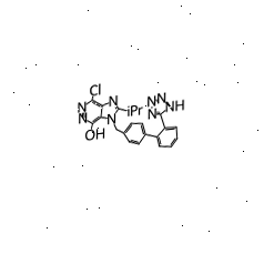 CC(C)c1nc2c(Cl)nnc(O)c2n1Cc1ccc(-c2ccccc2-c2nnn[nH]2)cc1